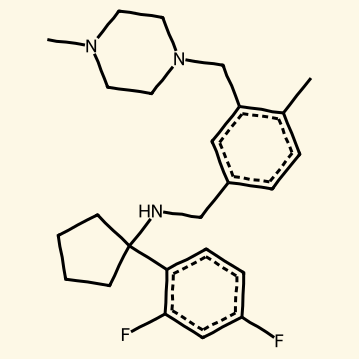 Cc1ccc(CNC2(c3ccc(F)cc3F)CCCC2)cc1CN1CCN(C)CC1